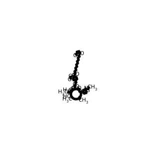 C=CC[C@H]1C(=O)C(C)(C)[C@@H](OC(=O)OCc2ccc(OC(=O)CCCCCCCCCCN3C(=O)C=CC3=O)c([N+](=O)[O-])c2)CC(=O)O[C@H](c2ccc3sc(C)nc3c2)C/C=C(/C)CCC[C@H](C)[C@@H]1O